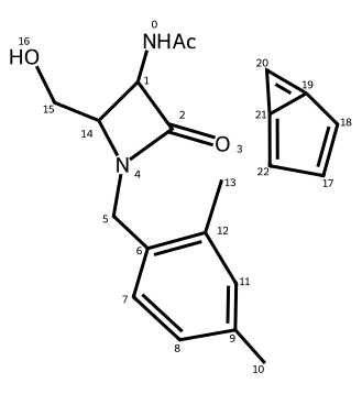 CC(=O)NC1C(=O)N(Cc2ccc(C)cc2C)C1CO.c1cc2cc-2c1